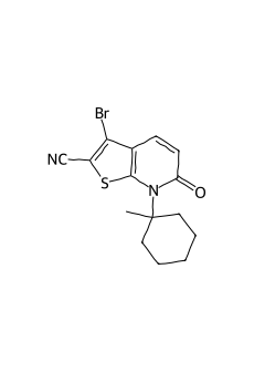 CC1(n2c(=O)ccc3c(Br)c(C#N)sc32)CCCCC1